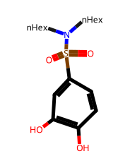 CCCCCCN(CCCCCC)S(=O)(=O)c1ccc(O)c(O)c1